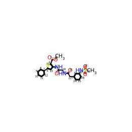 COC(=O)c1sc(-c2ccccc2)cc1NC(=O)CNC(=O)Cc1cccc(NS(C)(=O)=O)c1